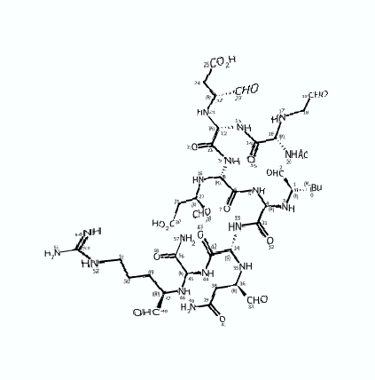 CC[C@@H](C)[C@H](C=O)N[C@H](NC(=O)[C@@H](NC(=O)[C@@H](NC(=O)[C@H](NCC=O)NC(C)=O)N[C@@H](C=O)CC(=O)O)N[C@@H](C=O)CC(=O)O)C(=O)N[C@H](N[C@@H](C=O)CC(N)=O)C(=O)N[C@@H](N[C@@H](C=O)CCCNC(=N)N)C(N)=O